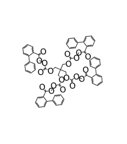 O=C(OCC(COC(=O)OOC(=O)c1ccccc1-c1ccccc1)(COC(=O)OOC(=O)c1ccccc1-c1ccccc1)COC(=O)OOC(=O)c1ccccc1-c1ccccc1)OOC(=O)c1ccccc1-c1ccccc1